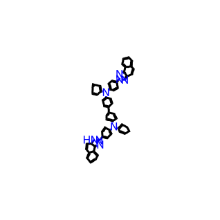 C1=CC(N(c2ccc(-c3ccc(N(c4ccccc4)c4ccc(-n5nc6ccc7ccccc7c6n5)cc4)cc3)cc2)c2ccc(N3N=C4c5ccccc5C=CC4N3)cc2)=CCC1